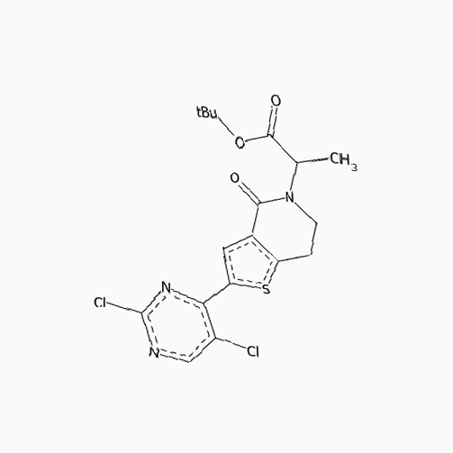 CC(C(=O)OC(C)(C)C)N1CCc2sc(-c3nc(Cl)ncc3Cl)cc2C1=O